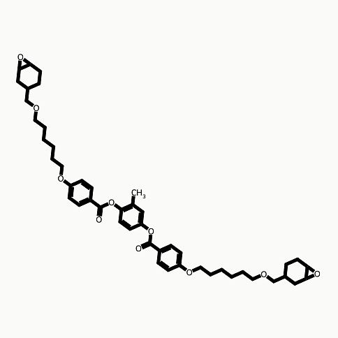 Cc1cc(OC(=O)c2ccc(OCCCCCCOCC3CCC4OC4C3)cc2)ccc1OC(=O)c1ccc(OCCCCCCOCC2CCC3OC3C2)cc1